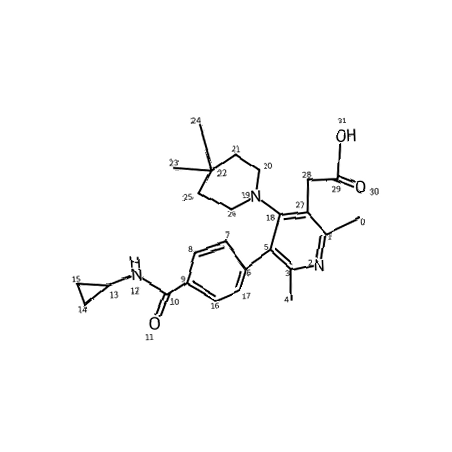 Cc1nc(C)c(-c2ccc(C(=O)NC3CC3)cc2)c(N2CCC(C)(C)CC2)c1CC(=O)O